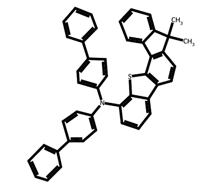 CC1(C)c2ccccc2-c2c1ccc1c2sc2c(N(c3ccc(-c4ccccc4)cc3)c3ccc(-c4ccccc4)cc3)cccc21